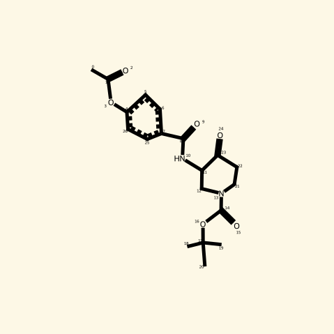 CC(=O)Oc1ccc(C(=O)NC2CN(C(=O)OC(C)(C)C)CCC2=O)cc1